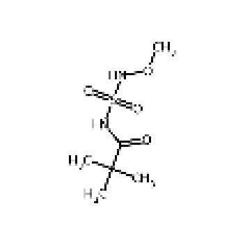 CONS(=O)(=O)NC(=O)C(C)(C)C